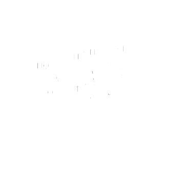 CCCCP(CCCC)(CCCC)(CCCC)C(O)(C(=O)O)C(O)(C(=O)O)P(CCCC)(CCCC)(CCCC)CCCC